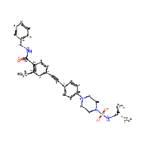 C[C@@H](NS(=O)(=O)N1CCN(c2ccc(C#Cc3ccc(C(=O)NCc4ccccc4)c(C(=O)O)c3)cc2)CC1)C(=O)O